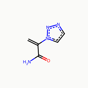 C=C(C(N)=O)n1ccnn1